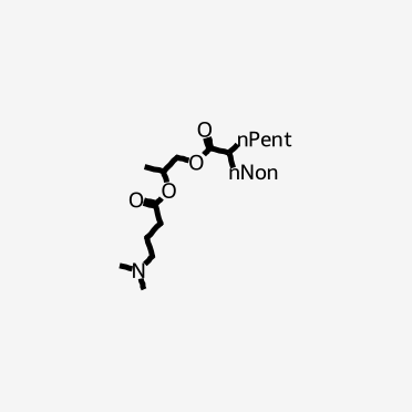 CCCCCCCCCC(CCCCC)C(=O)OCC(C)OC(=O)CCCN(C)C